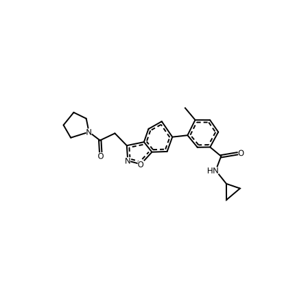 Cc1ccc(C(=O)NC2CC2)cc1-c1ccc2c(CC(=O)N3CCCC3)noc2c1